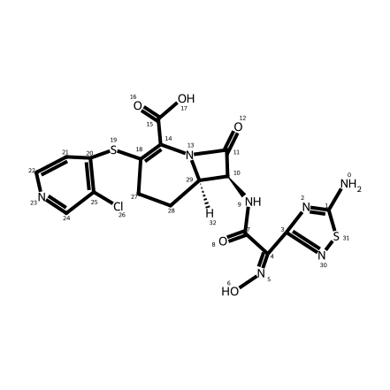 Nc1nc(/C(=N/O)C(=O)N[C@@H]2C(=O)N3C(C(=O)O)=C(Sc4ccncc4Cl)CC[C@H]23)ns1